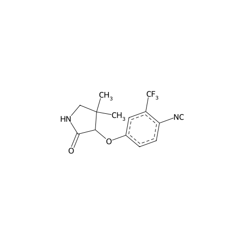 [C-]#[N+]c1ccc(OC2C(=O)NCC2(C)C)cc1C(F)(F)F